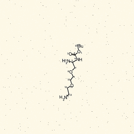 CC(C)(C)OC(=O)NC(N)COCCOCCN